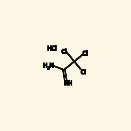 Cl.N=C(N)C(Cl)(Cl)Cl